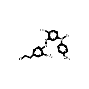 CCN(c1ccc(C)cc1)c1ccc(O)c(N=Nc2ccc(CCCl)cc2[N+](=O)[O-])c1